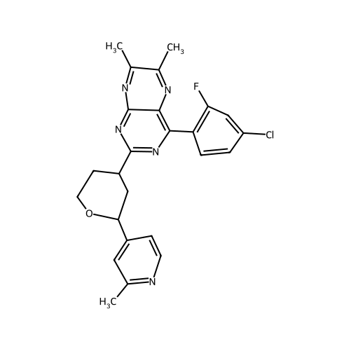 Cc1cc(C2CC(c3nc(-c4ccc(Cl)cc4F)c4nc(C)c(C)nc4n3)CCO2)ccn1